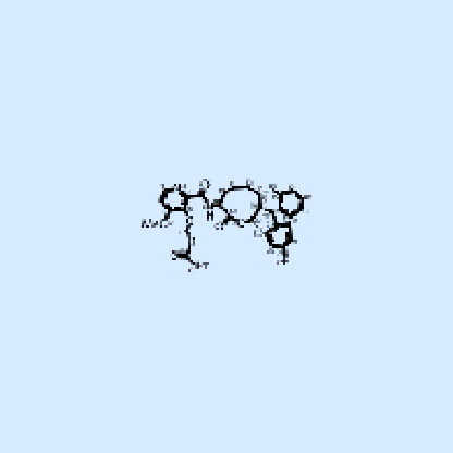 COc1ccnc(C(=O)N[C@H]2CCC[C@H](Cc3ccccc3)[C@@H](Cc3ccc(F)cc3)[C@H](C)OC2=O)c1OCOC(=O)C(C)C